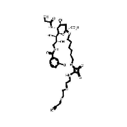 C#CCOCCOCCNc1c(NCCCCCCO[C@]2(C(=O)O)C[C@H](O)[C@@H](NC(=O)CO)[C@H]([C@H](O)[C@H](O)CNC(=O)c3cccc(Cl)c3)O2)c(=O)c1=O